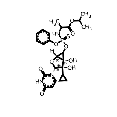 CC(C)OC(=O)C(C)NP(=S)(Oc1ccccc1)OC1[C@H]2O[C@@H](n3ccc(=O)[nH]c3=O)[C@@](O)(C3CC3)[C@@]12O